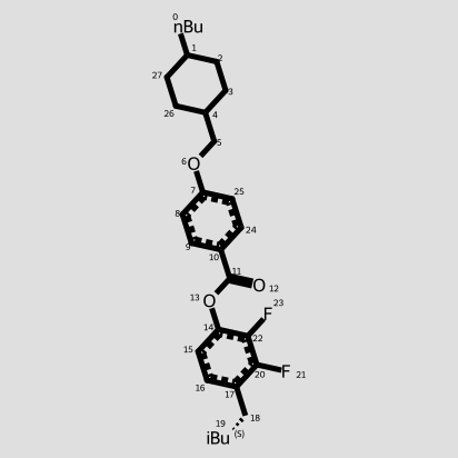 CCCCC1CCC(COc2ccc(C(=O)Oc3ccc(C[C@@H](C)CC)c(F)c3F)cc2)CC1